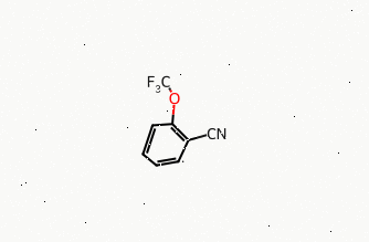 N#Cc1[c]cccc1OC(F)(F)F